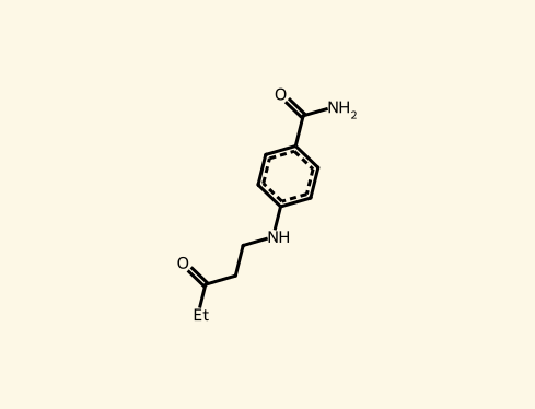 CCC(=O)CCNc1ccc(C(N)=O)cc1